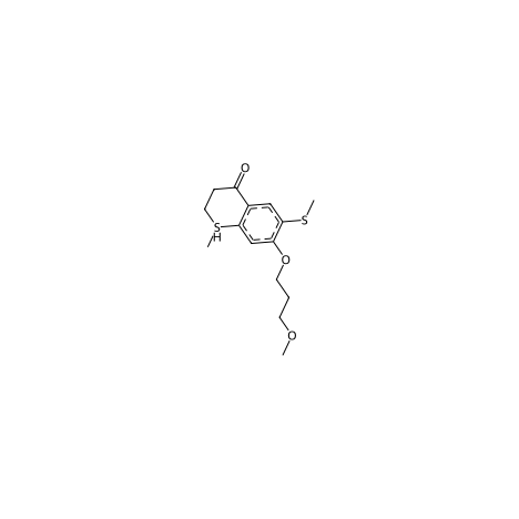 COCCCOc1cc2c(cc1SC)C(=O)CC[SH]2C